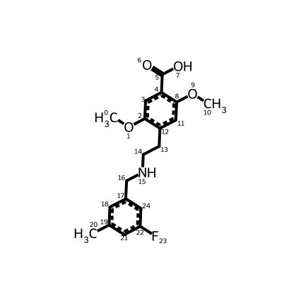 COc1cc(C(=O)O)c(OC)cc1CCNCc1cc(C)cc(F)c1